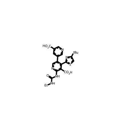 CCNC(=O)Nc1ncc(-c2cncc(C(=O)O)c2)c(-c2nc(C(C)(C)C)cs2)c1C(=O)O